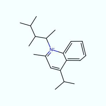 Cc1cc(C(C)C)c2ccccc2[n+]1C(C)C(C)C(C)C